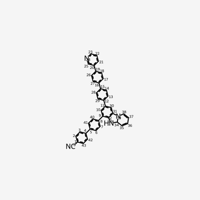 N#Cc1ccc(-c2ccc(-c3cc(-c4ccc(-c5ccc(-c6cccnc6)cc5)cc4)cc4c3NC3C=CC=CN43)cc2)cc1